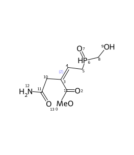 COC(=O)/C(=C\C[PH](=O)CO)CC(N)=O